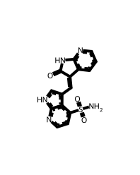 NS(=O)(=O)c1ccnc2[nH]cc(C=C3C(=O)Nc4ncccc43)c12